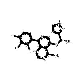 C[C@H](Oc1cnc(-c2ccc(F)c(Cl)c2F)c2ncnc(N)c12)c1nc[nH]n1